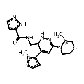 C[C@@H]1COCCN1C1=NNC(CNC(=O)c2ccn[nH]2)C(c2ccnn2C)=C1